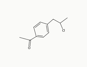 CC(=O)c1ccc(CC(C)Cl)cc1